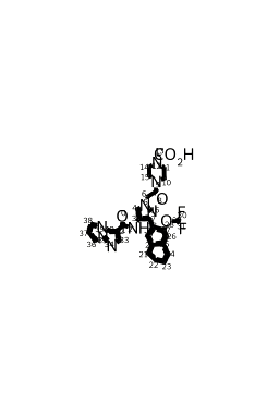 O=C(Nc1cn(CC(=O)N2CCN(C(=O)O)CC2)nc1-c1cc2ccccc2cc1OC(F)F)c1cnn2cccnc12